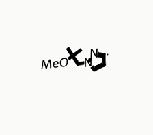 COC(C)(C)Cn1cc[c]n1